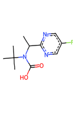 CC(c1ncc(F)cn1)N(C(=O)O)C(C)(C)C